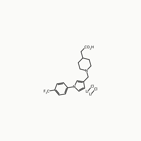 O=C(O)CC1CCN(Cc2ccn(-c3ccc(C(F)(F)F)cc3)c2)CC1.[Li][Cl].[Li][Cl]